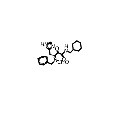 O=CN(Cc1ccccc1)[C@@H](Cc1c[nH]cn1)C(=O)C(=O)NCC1CCCCC1